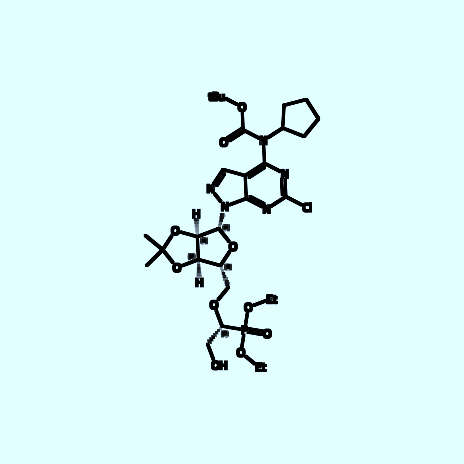 CCOP(=O)(OCC)[C@H](CO)OC[C@H]1O[C@@H](n2ncc3c(N(C(=O)OC(C)(C)C)C4CCCC4)nc(Cl)nc32)[C@@H]2OC(C)(C)O[C@@H]21